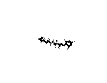 O=C(/C=C/c1c(F)cc(F)cc1F)NC(=S)NNC(=O)Cc1cccs1